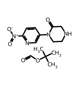 CC(C)(C)OC=O.O=C1CNCCN1c1ccc([N+](=O)[O-])nc1